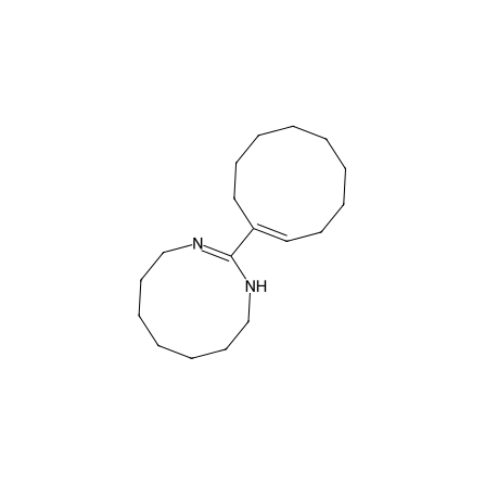 C1=C(C2=NCCCCCCCN2)CCCCCCCC1